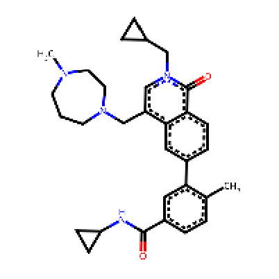 Cc1ccc(C(=O)NC2CC2)cc1-c1ccc2c(=O)n(CC3CC3)cc(CN3CCCN(C)CC3)c2c1